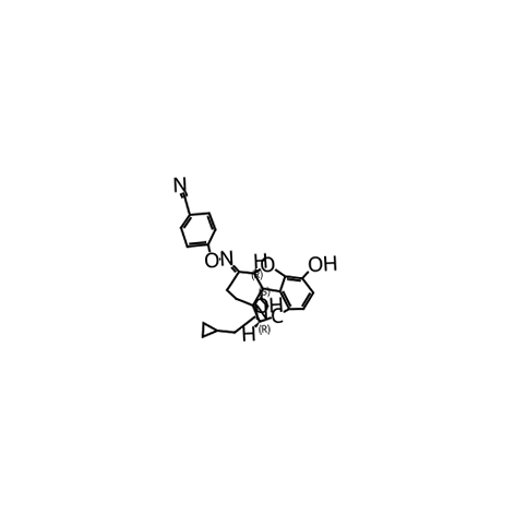 N#Cc1ccc(ON=C2CCC3(O)[C@H]4Cc5ccc(O)c6c5[C@@]3(CCN4CC3CC3)[C@H]2O6)cc1